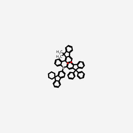 CC1(C)c2ccccc2-c2cccc(-c3ccccc3N(c3ccc4c(c3)C3(CCCCC3)c3ccccc3-4)c3ccc4c(c3)C(c3ccccc3)(c3ccccc3)c3ccccc3-4)c21